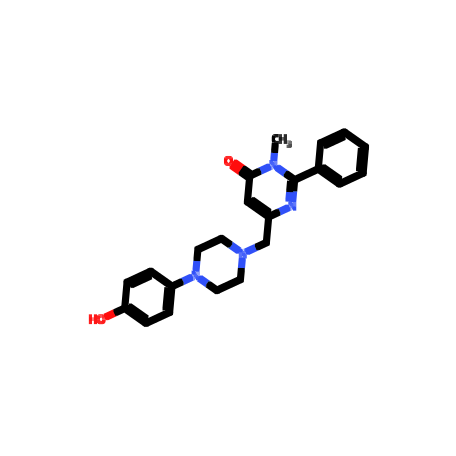 Cn1c(-c2ccccc2)nc(CN2CCN(c3ccc(O)cc3)CC2)cc1=O